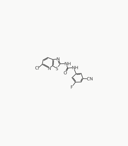 N#Cc1cc(F)cc(NC(=O)Nc2nc3ccc(Cl)nc3s2)c1